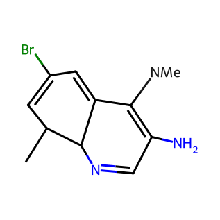 CNC1=C(N)C=NC2C1=CC(Br)=CC2C